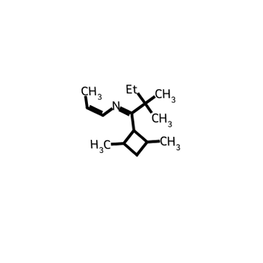 C/C=C\N=C(/C1C(C)CC1C)C(C)(C)CC